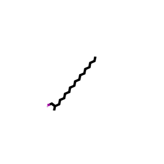 CCCCCCCCCCCCCCCCC(C)CI